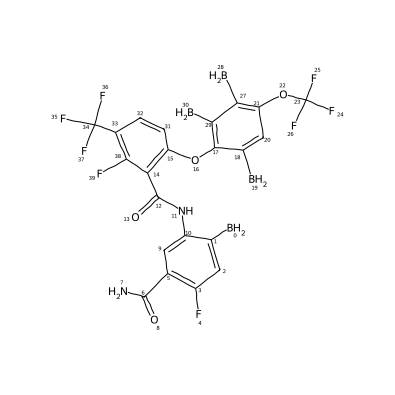 Bc1cc(F)c(C(N)=O)cc1NC(=O)c1c(Oc2c(B)cc(OC(F)(F)F)c(B)c2B)ccc(C(F)(F)F)c1F